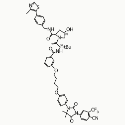 C=C([C@@H](NC(=O)c1cccc(OCCCCOc2ccc(N3C(=O)N(c4ccc(C#N)c(C(F)(F)F)c4)C(=O)C3(C)C)cc2)c1)C(C)(C)C)N1C[C@H](O)CC1C(=O)NCc1ccc(-c2scnc2C)cc1